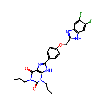 CCCn1c(=O)c2nc(-c3ccc(OCc4nc5cc(F)c(F)cc5[nH]4)cc3)[nH]c2n(CCC)c1=O